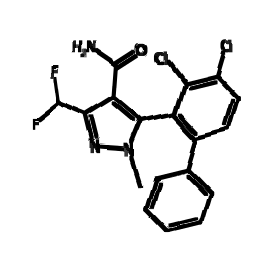 Cn1nc(C(F)F)c(C(N)=O)c1-c1c(-c2ccccc2)ccc(Cl)c1Cl